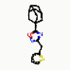 c1csc(Cc2noc(C34CC5CC(C3)C(C5)C4)n2)c1